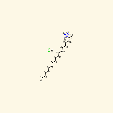 CCCCCCCCCCCCCCCCCC(C)[N+](C)(C)C.[Cl-]